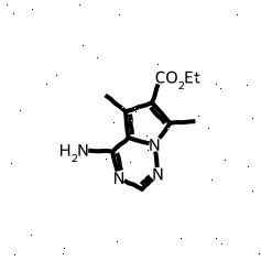 CCOC(=O)c1c(C)c2c(N)ncnn2c1C